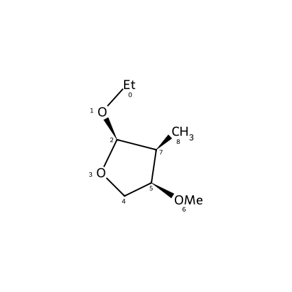 CCO[C@@H]1OC[C@H](OC)[C@@H]1C